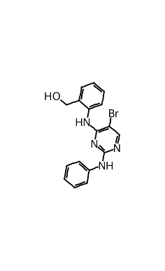 OCc1ccccc1Nc1nc(Nc2ccccc2)ncc1Br